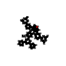 Cc1nc(C)nc(-c2ccc3c(c2)c2ccccc2n3-c2cc(C#N)c(-c3nc(-c4ccccc4)cc(-c4ccccc4)n3)cc2-n2c3ccccc3c3cc(-c4nc(C)nc(C)n4)ccc32)n1